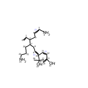 C=CC(C/C=C\N)C(C/C=C(\C=C/C(=C)O)C(C)(C)O)CCCN